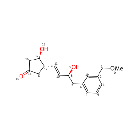 COCc1cccc(C[C@H](O)/C=C/[C@@H]2CC(=O)C[C@H]2O)c1